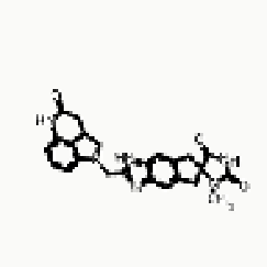 CN1C(=O)NC(=O)C12Cc1cc3nc(CN4CC5CC(=O)Nc6cccc4c65)[nH]c3cc1C2